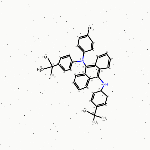 Cc1ccc(N(c2ccc(C(C)(C)C)cc2)c2c3ccccc3c(NC3C=CC(C(C)(C)C)=CC3)c3ccccc23)cc1